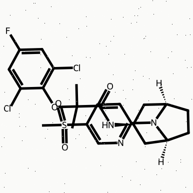 CC(C)(Oc1c(Cl)cc(F)cc1Cl)C(=O)N[C@H]1C[C@H]2CC[C@@H](C1)N2c1ccc(S(C)(=O)=O)cn1